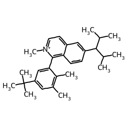 Cc1cc(C(C)(C)C)cc(-c2c3ccc(C(C(C)C)C(C)C)cc3cc[n+]2C)c1C